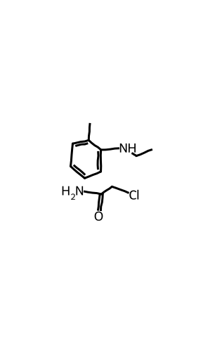 CCNc1ccccc1C.NC(=O)CCl